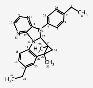 CCc1ccc(N2c3nccnc3N3c4ccc(CC)cc4C4(C)CC4(C)C23)cc1